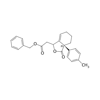 Cc1ccc([C@]23CCCC=C2C(CC(=O)OCc2ccccc2)OC3=O)cc1